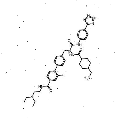 CCN(CC)CCNC(=O)c1ccc(-c2ccc(C[C@H](NC(=O)C3CCC(CN)CC3)C(=O)Nc3ccc(-c4nn[nH]n4)cc3)cc2)c(Cl)c1